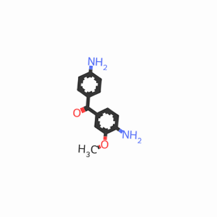 COc1cc(C(=O)c2ccc(N)cc2)ccc1N